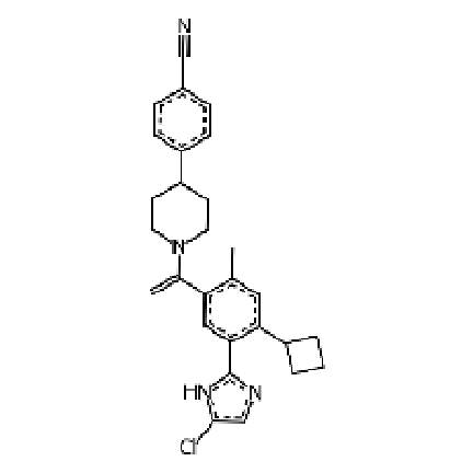 C=C(c1cc(-c2ncc(Cl)[nH]2)c(C2CCC2)cc1C)N1CCC(c2ccc(C#N)cc2)CC1